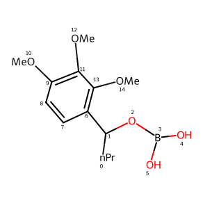 CCCC(OB(O)O)c1ccc(OC)c(OC)c1OC